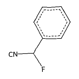 [C-]#[N+]C(F)c1ccccc1